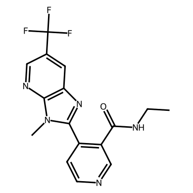 CCNC(=O)c1cnccc1-c1nc2cc(C(F)(F)F)cnc2n1C